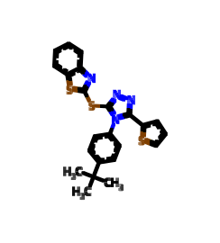 CC(C)(C)c1ccc(-n2c(Sc3nc4ccccc4s3)nnc2-c2cccs2)cc1